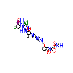 CCc1cc(Nc2ncc(Cl)c(Nc3ccc(F)cc3P(C)(C)=O)n2)c(OC)cc1N1CCC(N2CCN(CCOc3cccc4c3CN(C(C=O)CCC(=O)NC)C4=O)CC2)CC1